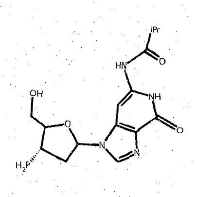 CC(C)C(=O)Nc1cc2c(ncn2C2C[C@H](P)C(CO)O2)c(=O)[nH]1